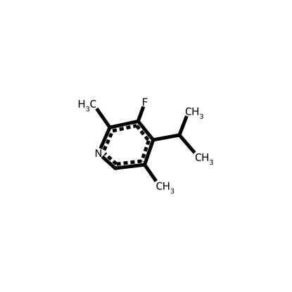 Cc1cnc(C)c(F)c1C(C)C